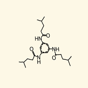 CC(C)CCC(=O)Nc1cc(NC(=O)CCC(C)C)cc(NC(=O)CCC(C)C)c1